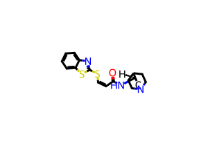 O=C(/C=C\Sc1nc2ccccc2s1)N[C@H]1CN2CCC1CC2